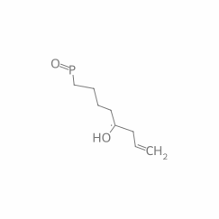 C=CC[C](O)CCCCP=O